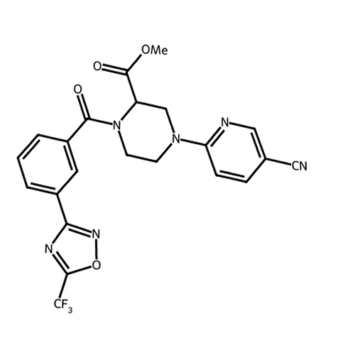 COC(=O)C1CN(c2ccc(C#N)cn2)CCN1C(=O)c1cccc(-c2noc(C(F)(F)F)n2)c1